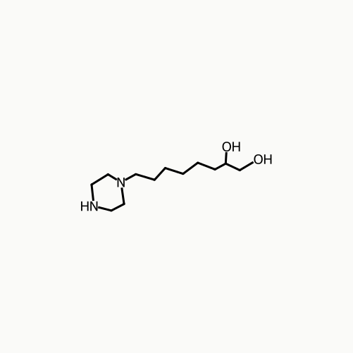 OCC(O)CCCCCCN1CCNCC1